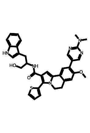 COc1cc2c(cc1-c1cnc(N(C)C)nc1)-c1cc(C(=O)NC(CO)Cc3c[nH]c4ccccc34)c(-c3cccs3)n1CC2